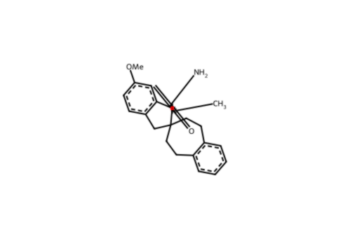 COc1ccc2c(c1)C1(N=C(N)N(C)C1=O)C1(CCc3ccccc3CC1)C2